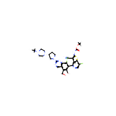 [2H]C([2H])([2H])N1CCN([C@@H]2CCN(c3ncc4c5c(c(-c6ncc(F)c7sc(NC(=O)OC(C)(C)C)c(C#N)c67)c(F)c4n3)COC5)C2)CC1